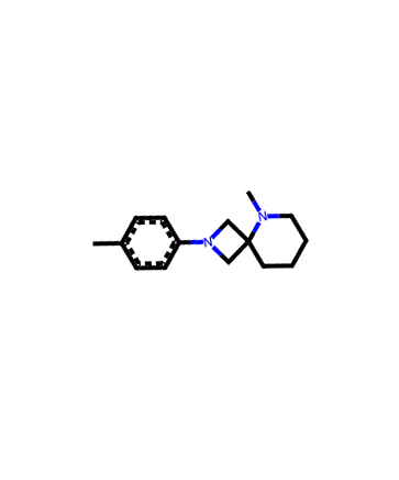 Cc1ccc(N2CC3(CCCCN3C)C2)cc1